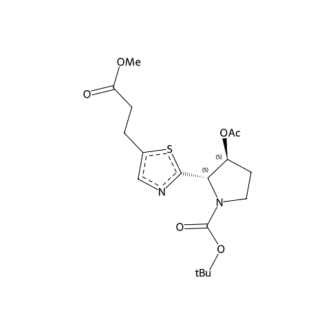 COC(=O)CCc1cnc([C@@H]2[C@@H](OC(C)=O)CCN2C(=O)OC(C)(C)C)s1